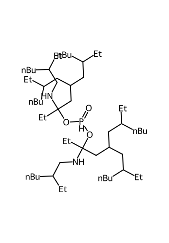 CCCCC(CC)CNC(CC)(CC(CC(CC)CCCC)CC(CC)CCCC)O[PH](=O)OC(CC)(CC(CC(CC)CCCC)CC(CC)CCCC)NCC(CC)CCCC